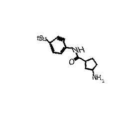 CC(C)(C)c1ccc(NC(=O)C2CCC(N)C2)cc1